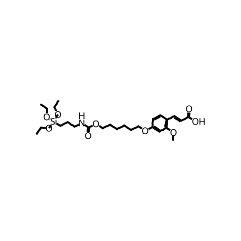 CCO[Si](CCCNC(=O)OCCCCCCOc1ccc(C=CC(=O)O)c(OC)c1)(OCC)OCC